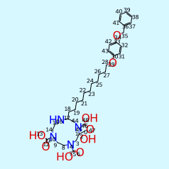 CC1(O)CN(C(=O)O)CCN(C(=O)O)CCNC(CCCCCCCCCCCOc2ccc(OCc3ccccc3)cc2)CN1C(=O)O